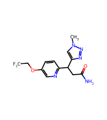 Cn1cc(C(CC(N)=O)c2ccc(OCC(F)(F)F)cn2)nn1